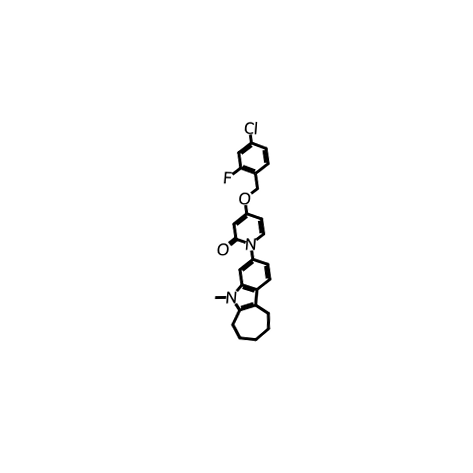 Cn1c2c(c3ccc(-n4ccc(OCc5ccc(Cl)cc5F)cc4=O)cc31)CCCCC2